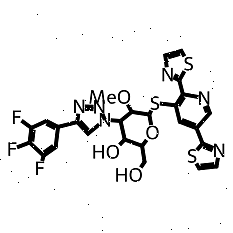 COC1C(Sc2cc(-c3nccs3)cnc2-c2nccs2)OC(CO)C(O)C1n1cc(-c2cc(F)c(F)c(F)c2)nn1